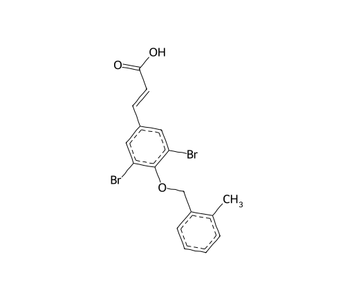 Cc1ccccc1COc1c(Br)cc(C=CC(=O)O)cc1Br